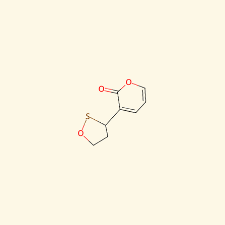 O=c1occcc1C1CCOS1